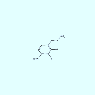 COc1ccc(CCN)c(F)c1F